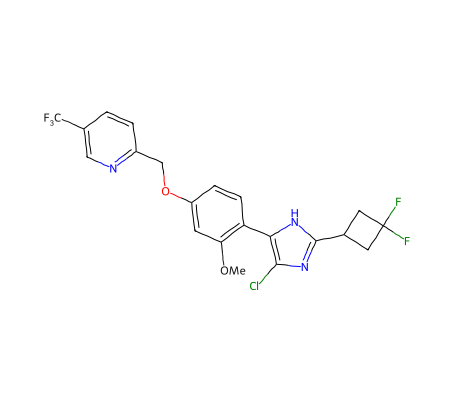 COc1cc(OCc2ccc(C(F)(F)F)cn2)ccc1-c1[nH]c(C2CC(F)(F)C2)nc1Cl